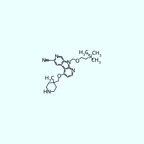 CC1(COc2ccnc3c2c2cc(C#N)ncc2n3COCC[Si](C)(C)C)CCNCC1